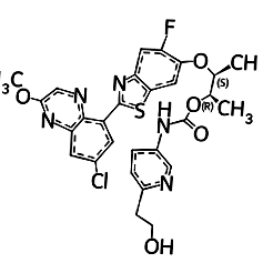 COc1cnc2c(-c3nc4cc(F)c(O[C@@H](C)[C@@H](C)OC(=O)Nc5ccc(CCO)nc5)cc4s3)cc(Cl)cc2n1